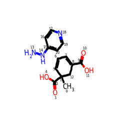 CC1(C(=O)O)C=CC=C(C(=O)O)C1.NNc1ccncc1